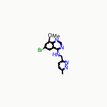 COc1cc(Br)cc2c(NCc3ccc(C)nn3)ncnc12